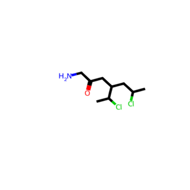 CC(Cl)CC(CC(=O)CN)C(C)Cl